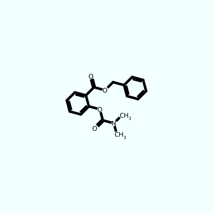 CN(C)C(=O)Oc1ccccc1C(=O)OCc1ccccc1